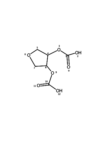 O=C(O)OC1COCC1OC(=O)O